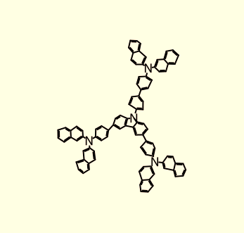 c1ccc2cc(N(c3ccc(-c4ccc(-n5c6ccc(-c7ccc(N(c8ccc9ccccc9c8)c8ccc9ccccc9c8)cc7)cc6c6cc(-c7ccc(N(c8ccc9ccccc9c8)c8ccc9ccccc9c8)cc7)ccc65)cc4)cc3)c3ccc4ccccc4c3)ccc2c1